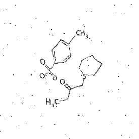 CCC(=O)C[S+]1CCCCC1.Cc1ccc(S(=O)(=O)[O-])cc1